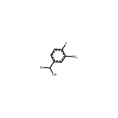 CCC(C#N)c1ccc(F)c([N+](=O)[O-])c1